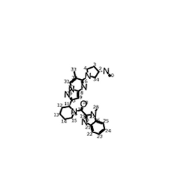 C=N[C@H]1CCN(c2nc3cc([C@@H]4CCCCN4C(=O)c4nc5ccccc5n4C)nn3cc2C)C1